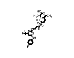 C=C(/C=C\C(=C/C)O[C@H](C)C(=O)O)S(=O)(=O)NCCNc1nc(Nc2ccc(F)cc2)cc(C(F)(F)F)n1